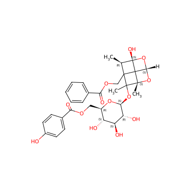 C[C@@H]1C2(COC(=O)c3ccccc3)C(C)(O[C@@H]3O[C@H](COC(=O)c4ccc(O)cc4)[C@@H](O)[C@H](O)[C@H]3O)[C@@]3(C)O[C@H]4O[C@]1(O)C423